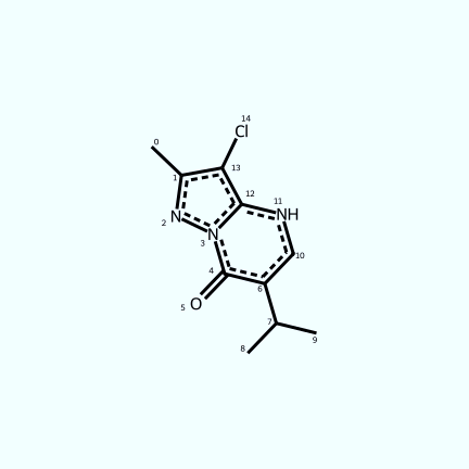 Cc1nn2c(=O)c(C(C)C)c[nH]c2c1Cl